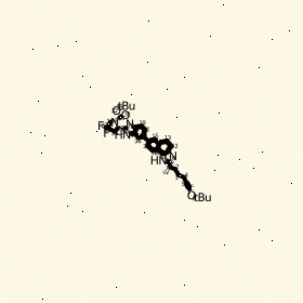 C[C@@H](CCCC#COC(C)(C)C)c1nc2ccc3cc(-c4ccc5nc([C@@H]6CC(F)(F)CN6C(=O)OC(C)(C)C)[nH]c5c4)ccc3c2[nH]1